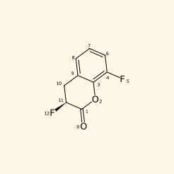 O=C1Oc2c(F)cccc2C[C@@H]1F